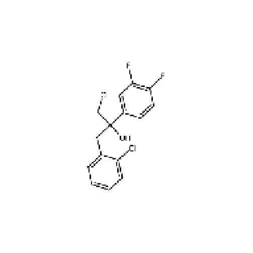 OC(CCl)(Cc1ccccc1Cl)c1ccc(F)c(F)c1